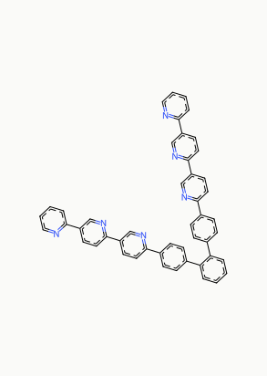 c1ccc(-c2ccc(-c3ccc(-c4ccc(-c5ccccc5-c5ccc(-c6ccc(-c7ccc(-c8ccccn8)cn7)cn6)cc5)cc4)nc3)nc2)nc1